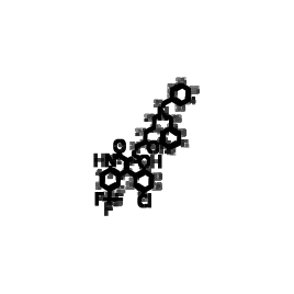 O=c1[nH]c2ccc(C(F)(F)F)cc2c(-c2cc(Cl)ccc2O)c1SCC(O)CCCN(Cc1ccccc1)Cc1ccccc1